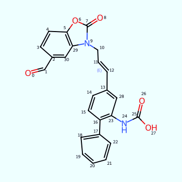 O=Cc1ccc2oc(=O)n(C/C=C/c3ccc(-c4ccccc4)c(NC(=O)O)c3)c2c1